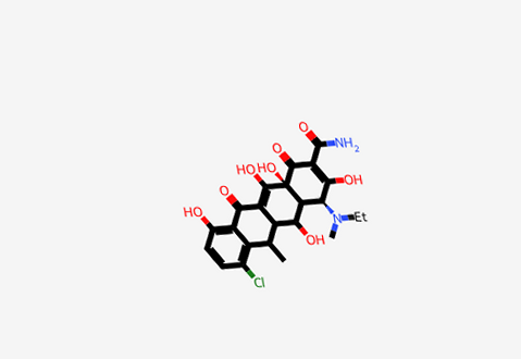 CCN(C)[C@@H]1C(O)=C(C(N)=O)C(=O)[C@@]2(O)C(O)=C3C(=O)c4c(O)ccc(Cl)c4C(C)C3C(O)C12